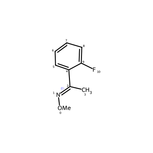 CO/N=C(\C)c1cc[c]cc1F